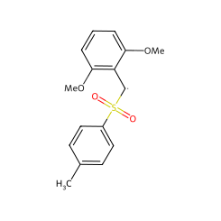 COc1cccc(OC)c1[CH]S(=O)(=O)c1ccc(C)cc1